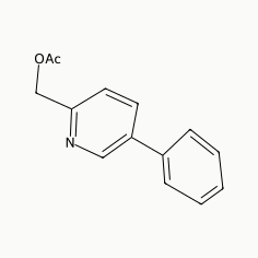 CC(=O)OCc1ccc(-c2ccccc2)cn1